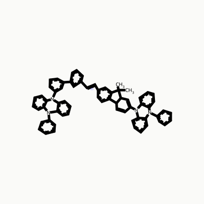 CC1(C)c2cc(/C=C/c3cccc(-c4cccc(N5c6ccccc6N(c6ccccc6)c6ccccc65)c4)c3)ccc2C2C=CC(N3c4ccccc4N(c4ccccc4)c4ccccc43)=CC21